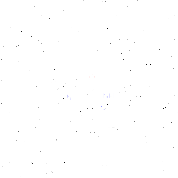 C=CCOC(=O)NC1CN(C(=O)C(F)(F)F)NC1=O